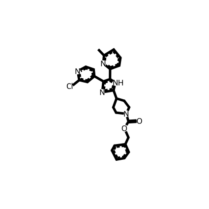 Cc1cccc(-c2[nH]c(C3CCN(C(=O)OCc4ccccc4)CC3)nc2-c2ccnc(Cl)c2)n1